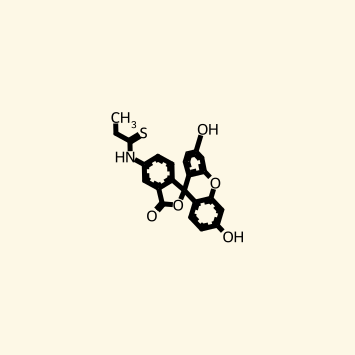 CCC(=S)Nc1ccc2c(c1)C(=O)OC21c2ccc(O)cc2Oc2cc(O)ccc21